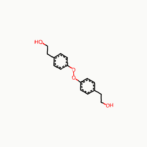 OCCc1ccc(OOc2ccc(CCO)cc2)cc1